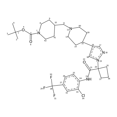 CC(C)(C)OC(=O)N1CCC(CN2CCC(c3cnn(C4(C(=O)Nc5ccc(C(F)(F)F)cc5Cl)CCC4)c3)CC2)CC1